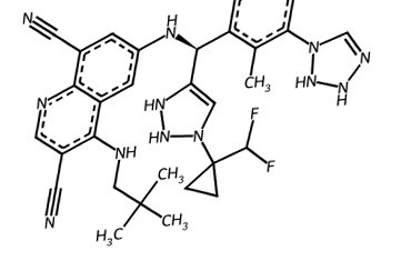 Cc1c([C@H](Nc2cc(C#N)c3ncc(C#N)c(NCC(C)(C)C)c3c2)C2=CN(C3(C(F)F)CC3)NN2)cccc1N1C=NNN1